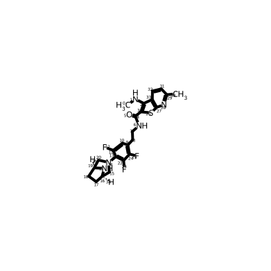 CNc1c(C(=O)NCCc2cc(F)c(N3C[C@H]4CC[C@@H](C3)N4)c(F)c2F)sc2nc(C)ccc12